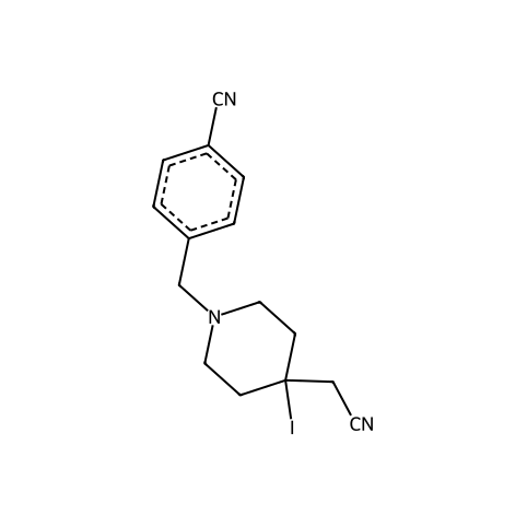 N#CCC1(I)CCN(Cc2ccc(C#N)cc2)CC1